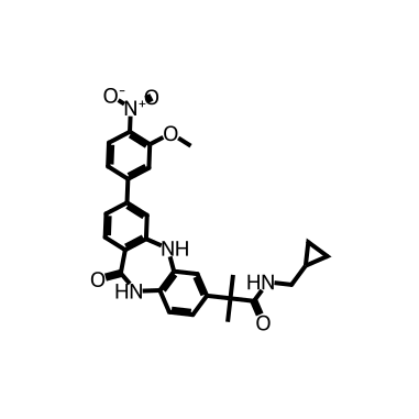 COc1cc(-c2ccc3c(c2)Nc2cc(C(C)(C)C(=O)NCC4CC4)ccc2NC3=O)ccc1[N+](=O)[O-]